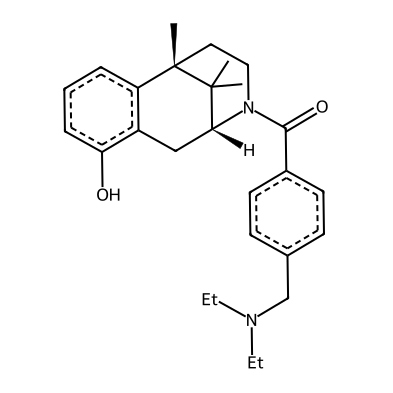 CCN(CC)Cc1ccc(C(=O)N2CC[C@@]3(C)c4cccc(O)c4C[C@@H]2C3(C)C)cc1